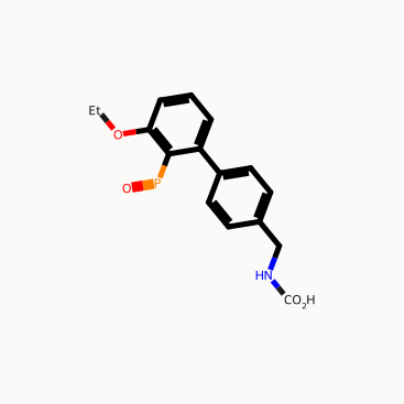 CCOc1cccc(-c2ccc(CNC(=O)O)cc2)c1P=O